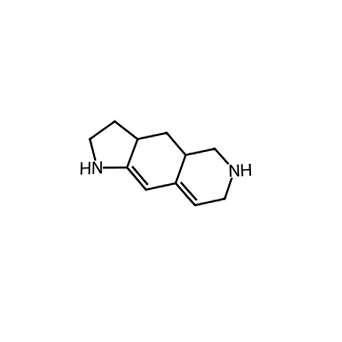 C1=C2C=C3NCCC3CC2CNC1